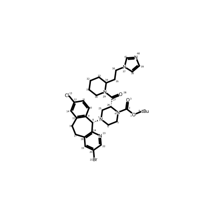 CC(C)(C)OC(=O)N1CCN([C@H]2c3ccc(Cl)cc3CCc3cc(Br)cnc32)C[C@@H]1C(=O)N1CCCCC1CCn1ccnc1